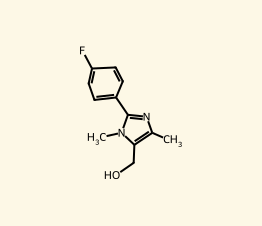 Cc1nc(-c2ccc(F)cc2)n(C)c1CO